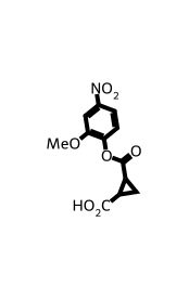 COc1cc([N+](=O)[O-])ccc1OC(=O)C1CC1C(=O)O